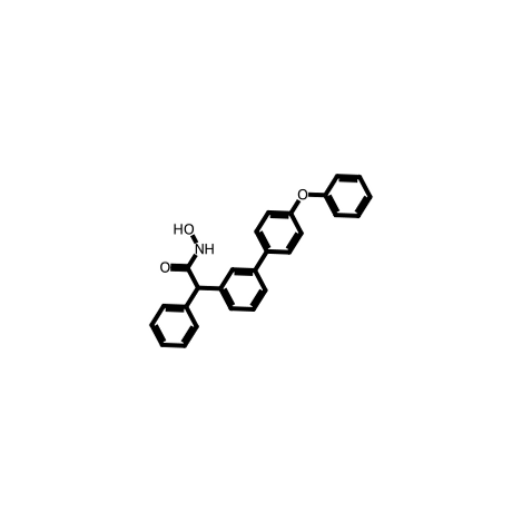 O=C(NO)C(c1ccccc1)c1cccc(-c2ccc(Oc3ccccc3)cc2)c1